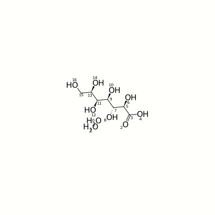 O.O.O=C(O)[C@H](O)[C@H](O)[C@H](O)[C@@H](O)[C@H](O)CO